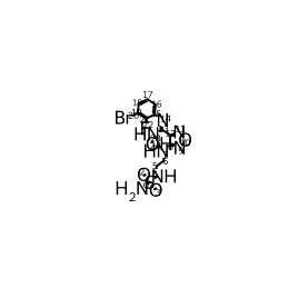 NS(=O)(=O)NCCNc1nonc1C(=Nc1cccc(Br)c1F)NO